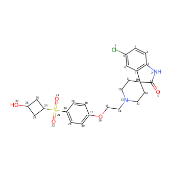 O=C1Nc2ccc(Cl)cc2C12CCN(CCOc1ccc(S(=O)(=O)C3CC(O)C3)cc1)CC2